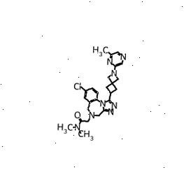 Cc1cncc(N2CC3(CC(c4nnc5n4-c4ccc(Cl)cc4CN(CC(=O)N(C)C)C5)C3)C2)n1